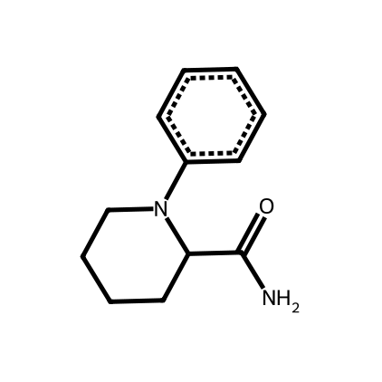 NC(=O)C1CCCCN1c1ccccc1